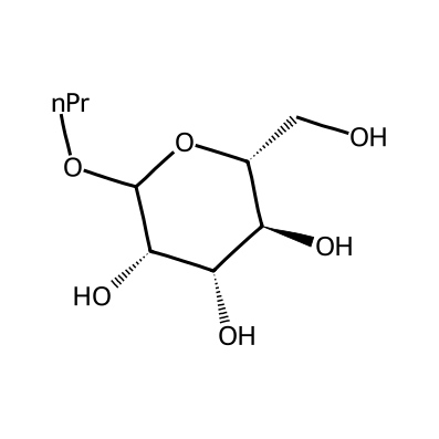 CCCOC1O[C@H](CO)[C@@H](O)[C@H](O)[C@@H]1O